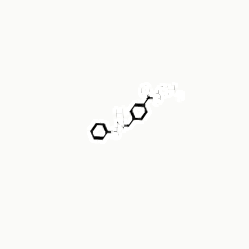 COC(=O)c1ccc(CNSc2ccccc2)cc1